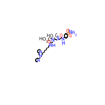 NS(=O)(=O)c1ccc(NC(=O)CN(CCN(CC(=O)O)CC(=O)NCCCCCCCCN(Cc2ccccn2)Cc2ccccn2)CC(=O)O)cc1